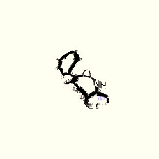 C/C=C1/NOC(c2ccccc2)=C(C)C=C1CC